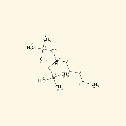 COCCC[SiH](O[Si](C)(C)C)O[Si](C)(C)C